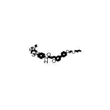 CCCCOCCOc1ccc(C2=CC(/C=C/C(=O)Nc3ccc([S+]([O-])Cc4c(C)ncn4CC)cc3)C(OC)C=C2)cc1